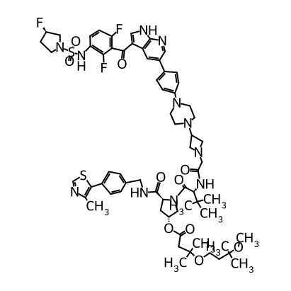 COC(C)(C)CCOC(C)(C)CC(=O)O[C@@H]1C[C@@H](C(=O)NCc2ccc(-c3scnc3C)cc2)N(C(=O)[C@@H](NC(=O)CN2CC(N3CCN(c4ccc(-c5cnc6[nH]cc(C(=O)c7c(F)ccc(NS(=O)(=O)N8CC[C@@H](F)C8)c7F)c6c5)cc4)CC3)C2)C(C)(C)C)C1